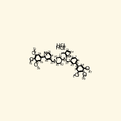 COc1cc(-c2cccc(CN(c3sccc3C)C3CCN(Cc4ccnc(-c5cc(OC)c(OC)c(OC)c5)c4)CC3)c2)cc(OC)c1OC.Cl.Cl